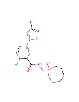 Cc1cc(-c2ccc(Cl)c(C(=O)NCC3(O)CCCCCC3)c2)on1